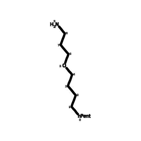 CCCCCCCCCOCCCN